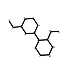 CCC1CCC[C](C2CCCCC2CC)C1